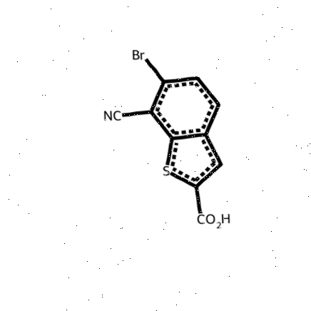 N#Cc1c(Br)ccc2cc(C(=O)O)sc12